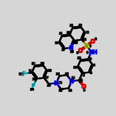 O=C(c1ccc(NS(=O)(=O)c2cccc3cccnc23)cc1)N1CCN(Cc2cccc(F)c2F)CC1